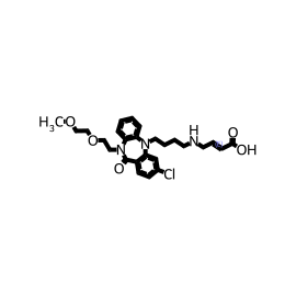 COCCOCCN1C(=O)c2ccc(Cl)cc2N(CCCCNC/C=C/C(=O)O)c2ccccc21